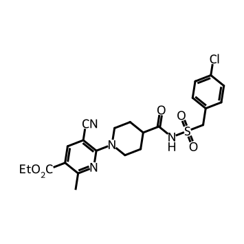 CCOC(=O)c1cc(C#N)c(N2CCC(C(=O)NS(=O)(=O)Cc3ccc(Cl)cc3)CC2)nc1C